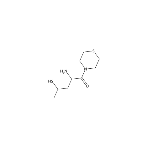 CC(S)CC(N)C(=O)N1CCSCC1